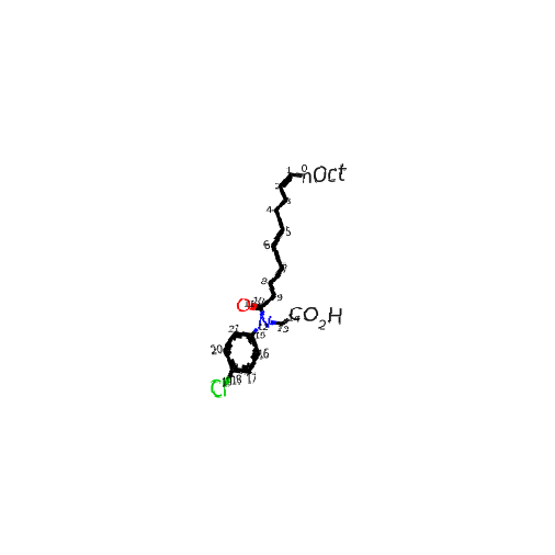 CCCCCCCC/C=C\CCCCCCCC(=O)N(CC(=O)O)c1ccc(Cl)cc1